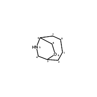 C1CCC2CNC(C1)CO2